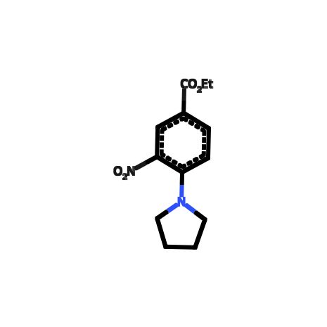 CCOC(=O)c1ccc(N2CCCC2)c([N+](=O)[O-])c1